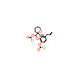 C=CCc1ccc(OC(=O)Cl)c(OC(OC(=O)Cl)C2([SiH3])CCCCO2)c1